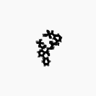 CC(c1cccc(NC(=O)NCC(=O)N2[C@@H](c3ccccc3)CC[C@H]2C(=O)OC(C)(C)C)c1)S(=O)(=O)O